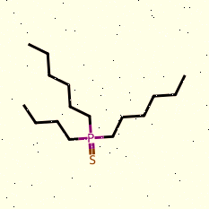 CCCCCCP(=S)(CCCC)CCCCCC